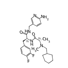 C[C@@H](C(=O)N[C@@H](Cc1ccc(F)c(F)c1)C(=O)NCc1ccc(N)nc1)N(C)CC1CCCCC1